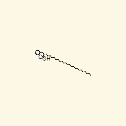 CCCCCCCCCCCCCCCCCCCCCCCCC(Cc1ccccc1)C(=O)O